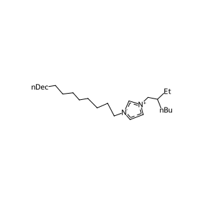 CCCCCCCCCCCCCCCCCCn1cc[n+](CC(CC)CCCC)c1